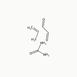 C=CC.NC(N)=O.O=CC=O